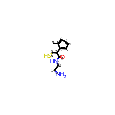 Cc1ccccc1C(CS)C(=O)NCCN